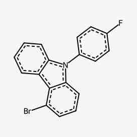 Fc1ccc(-n2c3ccccc3c3c(Br)cccc32)cc1